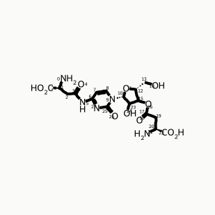 N[C@@H](CC(=O)Nc1ccn([C@@H]2O[C@H](CO)C(OC(=O)C[C@H](N)C(=O)O)C2O)c(=O)n1)C(=O)O